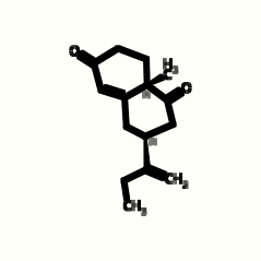 C=C(CC)[C@@H]1CC(=O)[C@@]2(C)CCC(=O)C=C2C1